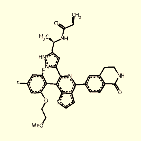 C=CC(=O)N[C@H](C)c1cc(-c2nc(-c3ccc4c(c3)CCNC4=O)c3ccsc3c2-c2c(F)cc(F)cc2OCCOC)n[nH]1